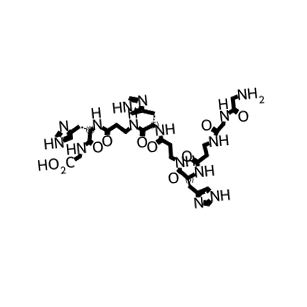 NCC(=O)NCC(=O)NCCC(=O)N[C@@H](Cc1c[nH]cn1)C(=O)NCCC(=O)N[C@@H](Cc1c[nH]cn1)C(=O)NCCC(=O)N[C@@H](Cc1c[nH]cn1)C(=O)NCC(=O)O